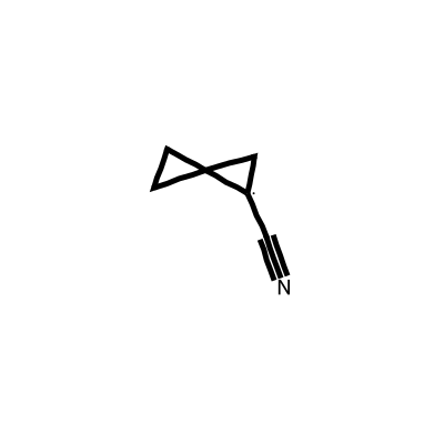 N#C[C]1CC12CC2